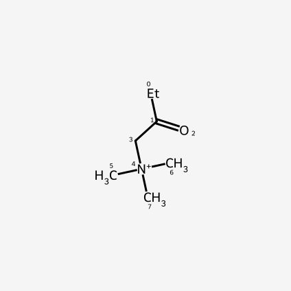 CCC(=O)C[N+](C)(C)C